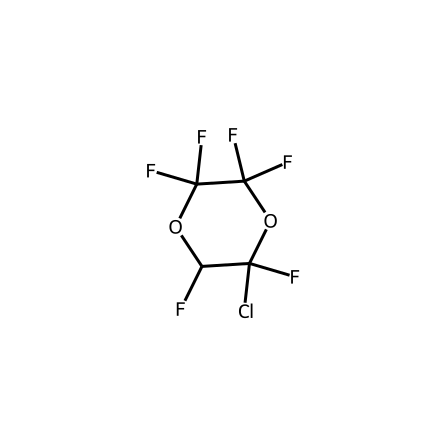 FC1OC(F)(F)C(F)(F)OC1(F)Cl